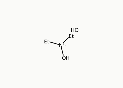 CC[N+](O)CC.[OH]